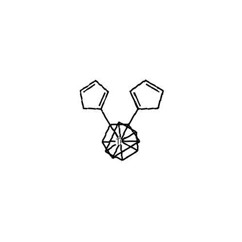 C1=CCC([C]23[CH]4[CH]5[CH]6[C]2(C2=CC=CC2)[Ti]54632789[CH]3[CH]2[CH]7[CH]8[CH]39)=C1